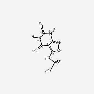 CCCC(=O)Nc1onc2c1c(=O)n(C)c(=O)n2C